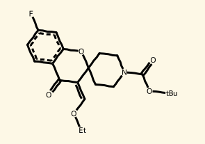 CCO/C=C1\C(=O)c2ccc(F)cc2OC12CCN(C(=O)OC(C)(C)C)CC2